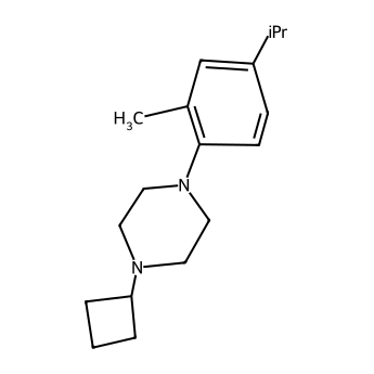 Cc1cc(C(C)C)ccc1N1CCN(C2CCC2)CC1